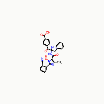 Cc1nc(-c2ccccc2C#N)n(O)c1C(=O)NC(N)(Cc1ccccc1)C(=O)c1ccc(C(=O)O)cc1